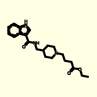 CCOC(=O)CCCN1CCC(CNC(=O)c2c[nH]c3ccccc23)CC1